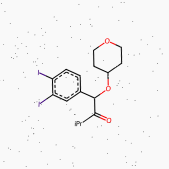 CC(C)C(=O)C(OC1CCOCC1)c1ccc(I)c(I)c1